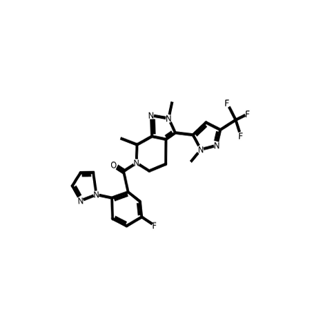 CC1c2nn(C)c(-c3cc(C(F)(F)F)nn3C)c2CCN1C(=O)c1cc(F)ccc1-n1cccn1